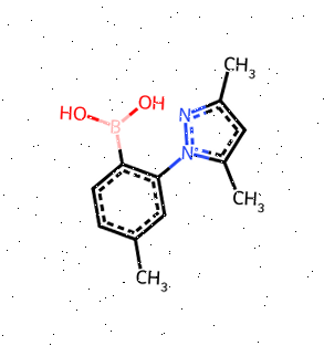 Cc1ccc(B(O)O)c(-n2nc(C)cc2C)c1